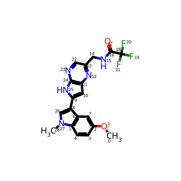 COc1ccc2c(c1)c(-c1cc3nc(CNC(=O)C(F)(F)F)cnc3[nH]1)cn2C